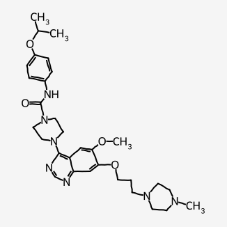 COc1cc2c(N3CCN(C(=O)Nc4ccc(OC(C)C)cc4)CC3)ncnc2cc1OCCCN1CCN(C)CC1